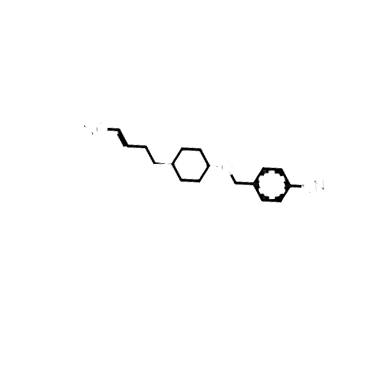 N#CC=CCC[C@H]1CC[C@H](OCc2ccc(C#N)cc2)CC1